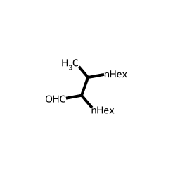 CCCCCCC(C)C(C=O)CCCCCC